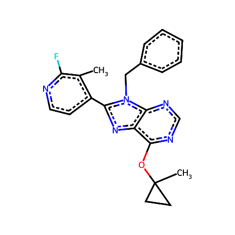 Cc1c(-c2nc3c(OC4(C)CC4)ncnc3n2Cc2ccccc2)ccnc1F